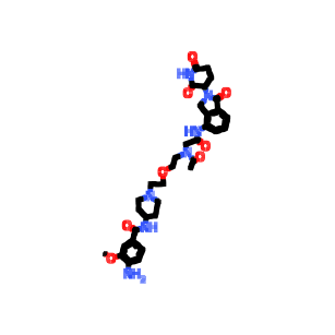 COc1cc(C(=O)NC2CCN(CCOCCN(CC(=O)Nc3cccc4c3CN(C3CCC(=O)NC3=O)C4=O)C(C)=O)CC2)ccc1N